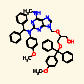 CNc1nc(N(c2ccc(OC)cc2)C(c2ccccc2)c2ccccc2)nc2c1ncn2COC(CO)COC(c1ccccc1)(c1ccccc1)c1ccc(OC)cc1